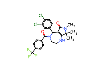 CN1C(=O)C2=C(NCCN(C(=O)c3ccc(C(F)(F)F)cc3)C2c2ccc(Cl)c(Cl)c2)C1(C)C